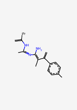 C=C(/C(C)=C(N)/N=C(/C)NC(=C)C(C)C)c1ccc(C)cc1